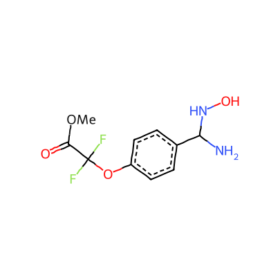 COC(=O)C(F)(F)Oc1ccc(C(N)NO)cc1